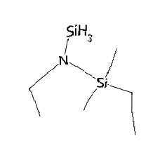 CCN([SiH3])[Si](C)(C)CC